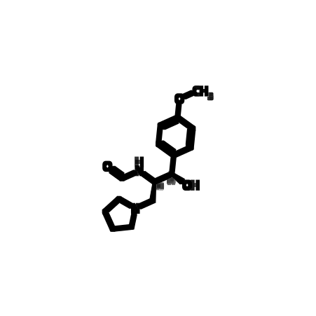 COc1ccc([C@@H](O)[C@@H](CN2CCCC2)NC=O)cc1